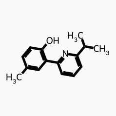 Cc1ccc(O)c(-c2cccc(C(C)C)n2)c1